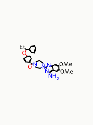 CCC(Oc1ccc(C(=O)N2CCCN(c3nc(N)c4cc(OC)c(OC)cc4n3)CC2)cc1)c1ccccc1